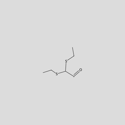 CCSC([C]=O)SCC